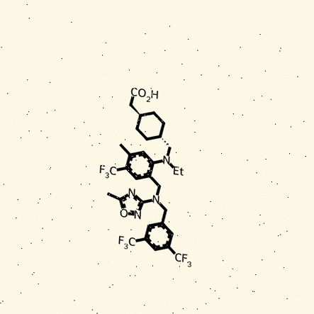 CCN(C[C@H]1CC[C@H](CC(=O)O)CC1)c1cc(C)c(C(F)(F)F)cc1CN(Cc1cc(C(F)(F)F)cc(C(F)(F)F)c1)c1noc(C)n1